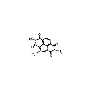 Cc1cc2c3c(ccc4c3c1C(=O)N(C)C4=O)C(=O)N(C)C2=O